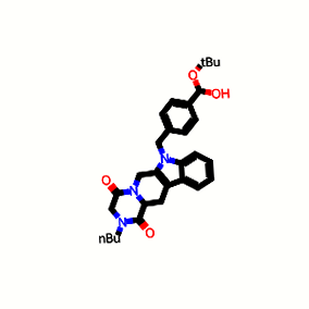 CCCCN1CC(=O)N2Cc3c(c4ccccc4n3Cc3ccc(C(O)OC(C)(C)C)cc3)CC2C1=O